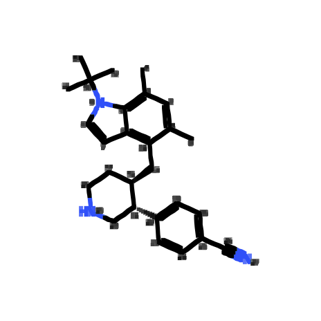 Cc1cc(C)c2c(ccn2C(C)(C)C)c1C[C@@H]1CCNC[C@H]1c1ccc(C#N)cc1